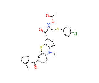 CCN1c2ccc(C(=O)/C(CSc3ccc(Cl)cc3)=N/OC(C)=O)cc2Sc2cc(C(=O)c3ccccc3C)ccc21